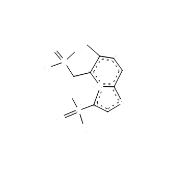 O=P(O)(O)Cc1c(Cl)ccc2ncc(P(=O)(O)O)n12